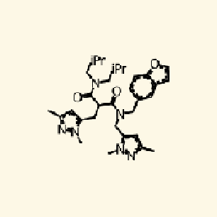 Cc1cc(CC(C(=O)N(Cc2ccc3occc3c2)Cc2cc(C)nn2C)C(=O)N(CC(C)C)CC(C)C)n(C)n1